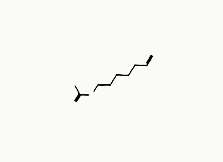 C=CCCCCCOC(=O)Cl